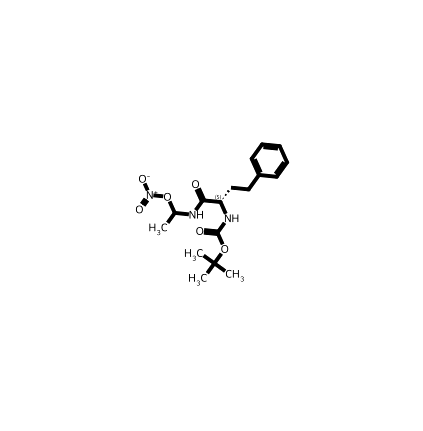 CC(NC(=O)[C@H](CCc1ccccc1)NC(=O)OC(C)(C)C)O[N+](=O)[O-]